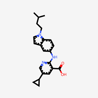 CC(C)CCn1ccc2cc(Nc3ncc(C4CC4)cc3C(=O)O)ccc21